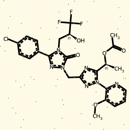 COc1cccnc1-n1nc(Cn2nc(-c3ccc(Cl)cc3)n(C[C@H](O)C(F)(F)F)c2=O)nc1[C@H](C)OC(C)=O